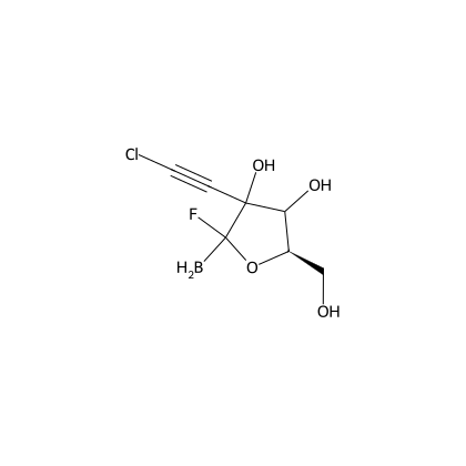 BC1(F)O[C@H](CO)C(O)C1(O)C#CCl